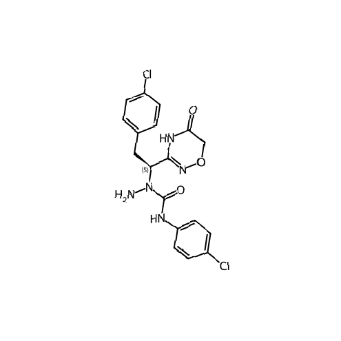 NN(C(=O)Nc1ccc(Cl)cc1)[C@@H](Cc1ccc(Cl)cc1)C1=NOCC(=O)N1